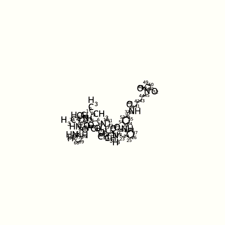 CC[C@H](C)[C@@H]([C@@H](CC(=O)N1CCCC1[C@H](OC)[C@@H](C)C(=O)NC(Cc1ccccc1)C(=O)Nc1ccc(CNC(=O)CCCCCN2C(=O)C=CC2=O)cc1)OC)N(C)C(=O)C(NC(=O)[C@H]1N[C@@H]2CC[C@H]1C2)C(C)C